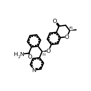 C[C@@H]1CC(=O)c2ccc(O[C@@H](c3ccncc3)c3ccccc3C(N)=O)cc2O1